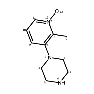 Cc1c(N2CCNCC2)ccc[n+]1[O-]